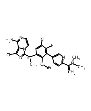 C=C(c1ccc(-c2c(F)c(Cl)cc([C@@H](C)c3nc(Cl)c4c(N)nccn34)c2OC(C)C)cn1)N(C)C